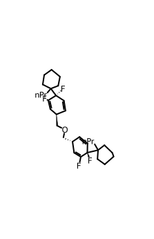 CCCC1([C@@]2(F)C=C[C@@H](COC[C@@H]3C=C[C@](F)(C4(CCC)CCCCC4)C(F)=C3)C=C2F)CCCCC1